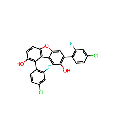 Oc1cc2c(cc1-c1ccc(Cl)cc1F)oc1ccc(O)c(-c3ccc(Cl)cc3F)c12